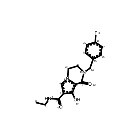 CCNC(=O)c1cn2c(c1O)C(=O)N(Cc1ccc(F)cc1)CC2